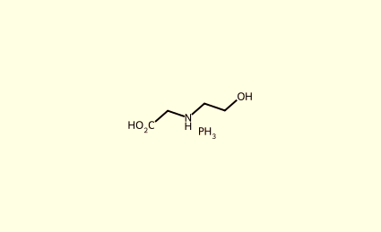 O=C(O)CNCCO.P